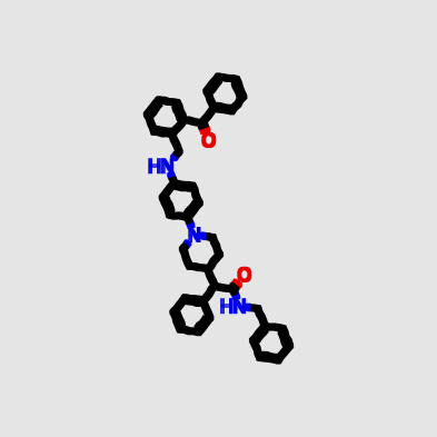 O=C(c1ccccc1)c1ccccc1CNc1ccc(N2CCC(C(C(=O)NCc3ccccc3)c3ccccc3)CC2)cc1